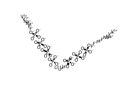 O=P([O-])([O-])[O-].O=P([O-])([O-])[O-].O=P([O-])([O-])[O-].O=P([O-])([O-])[O-].O=P([O-])([O-])[O-].O=P([O-])([O-])[O-].O=P([O-])([O-])[O-].[F-].[F-].[F-].[F-].[F-].[F-].[F-].[Li+].[Li+].[Li+].[Li+].[Na+].[Na+].[Na+].[Na+].[V+5].[V+5].[V+5].[V+5]